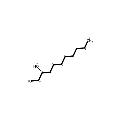 CCCCCCCC[C@@H](O)CO